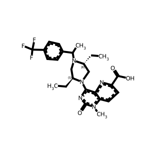 CC[C@H]1CN(C(C)c2ccc(C(F)(F)F)cc2)[C@H](CC)CN1c1nc(=O)n(C)c2ccc(C(=O)O)nc12